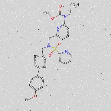 CCOc1ccc(-c2ccc(CN(Cc3cccc(N(CC(=O)O)C(=O)OC(C)(C)C)n3)S(=O)(=O)c3ccccn3)cc2)cc1